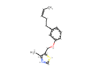 C/C=C\CCc1cccc(OCc2scnc2C)c1